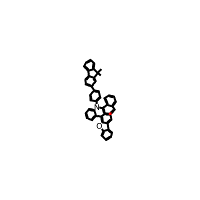 CC1(C)c2ccccc2-c2ccc(-c3ccc(N(c4ccccc4-c4cccc5c4oc4ccccc45)c4cccc5ccccc45)cc3)cc21